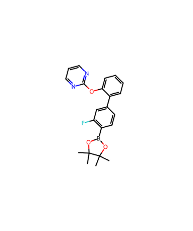 CC1(C)OB(c2ccc(-c3ccccc3Oc3ncccn3)cc2F)OC1(C)C